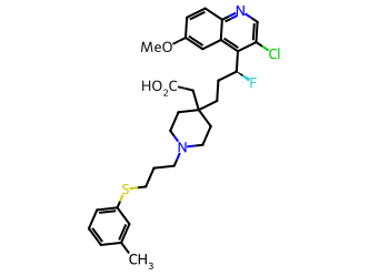 COc1ccc2ncc(Cl)c([C@@H](F)CCC3(CC(=O)O)CCN(CCCSc4cccc(C)c4)CC3)c2c1